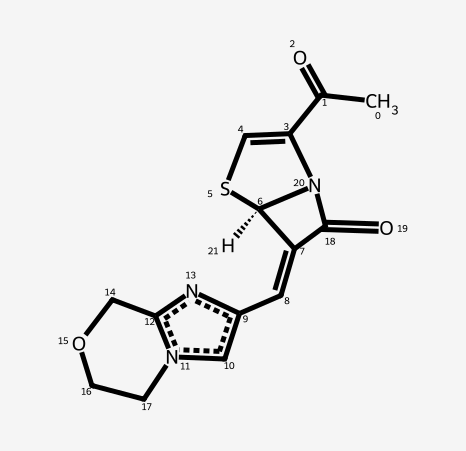 CC(=O)C1=CS[C@@H]2/C(=C\c3cn4c(n3)COCC4)C(=O)N12